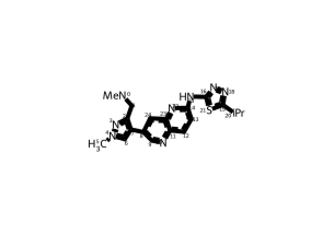 CNCc1nn(C)cc1-c1cnc2ccc(Nc3nnc(C(C)C)s3)nc2c1